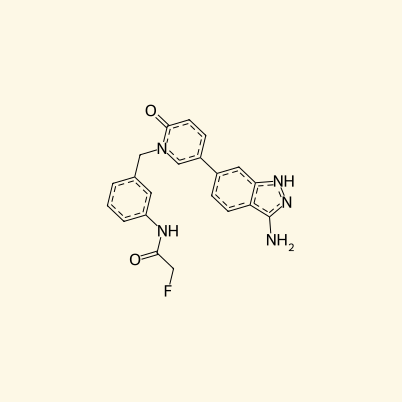 Nc1n[nH]c2cc(-c3ccc(=O)n(Cc4cccc(NC(=O)CF)c4)c3)ccc12